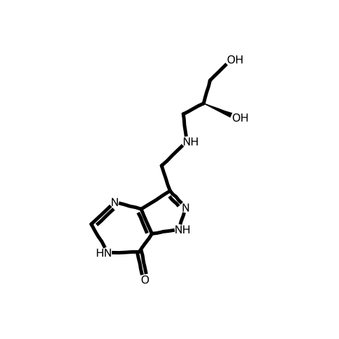 O=c1[nH]cnc2c(CNC[C@H](O)CO)n[nH]c12